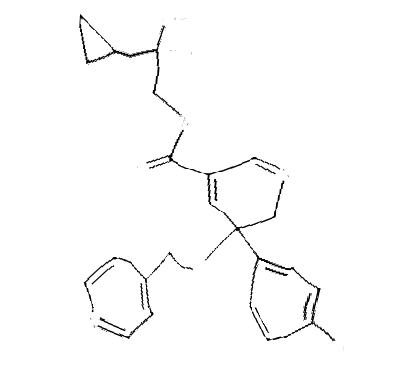 C[C@](O)(CNC(=O)C1=CC(OCc2ccncc2)(c2ccc(Cl)cc2)CN=C1)C1CC1